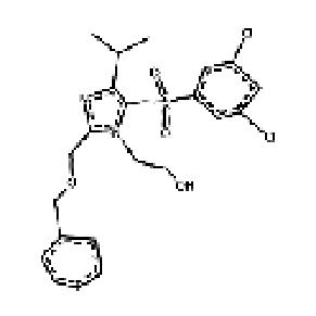 CC(C)c1nc(COCc2ccccc2)n(CCO)c1S(=O)(=O)c1cc(Cl)cc(Cl)c1